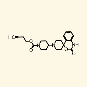 C#CCCOC(=O)N1CCC(N2CCC3(CC2)OC(=O)Nc2ccccc23)CC1